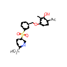 CC(=O)c1ccc(OCc2cccc(S(=O)(=O)c3ccc(C(=O)O)nc3)c2)c(C)c1O